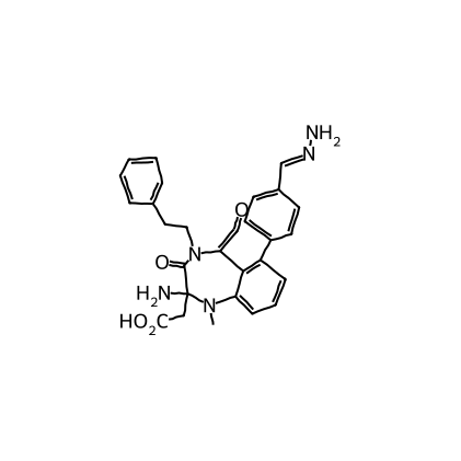 CN1c2cccc(-c3ccc(C=NN)cc3)c2C(=C=O)N(CCc2ccccc2)C(=O)C1(N)CC(=O)O